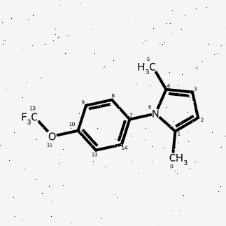 Cc1ccc(C)n1-c1ccc(OC(F)(F)F)cc1